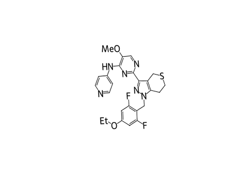 CCOc1cc(F)c(Cn2nc(-c3ncc(OC)c(Nc4ccncc4)n3)c3c2CCSC3)c(F)c1